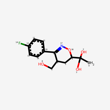 BC(O)(O)C1CC(CO)C(c2ccc(F)cc2)=NO1